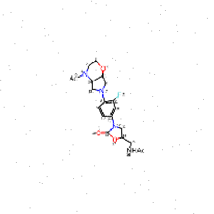 [CH2]C(=O)N1CCOC2CN(c3ccc(N4CC(CNC(C)=O)OC4=O)cc3F)CC21